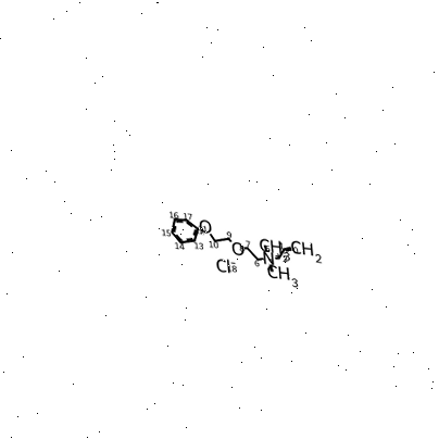 C=CC[N+](C)(C)CCOCCOc1ccccc1.[Cl-]